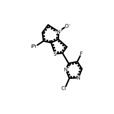 CC(C)c1cc[n+]([O-])c2cc(-c3nc(Cl)ncc3F)sc12